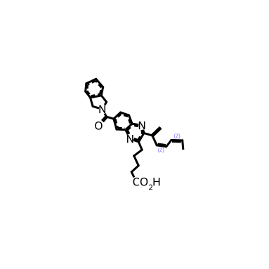 C=C(/C=C\C=C/C)c1nc2ccc(C(=O)N3Cc4ccccc4C3)cc2nc1CCCCC(=O)O